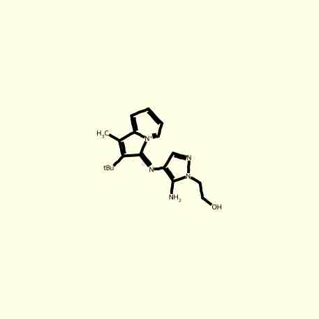 CC1=C(C(C)(C)C)/C(=N/c2cnn(CCO)c2N)[n+]2ccccc21